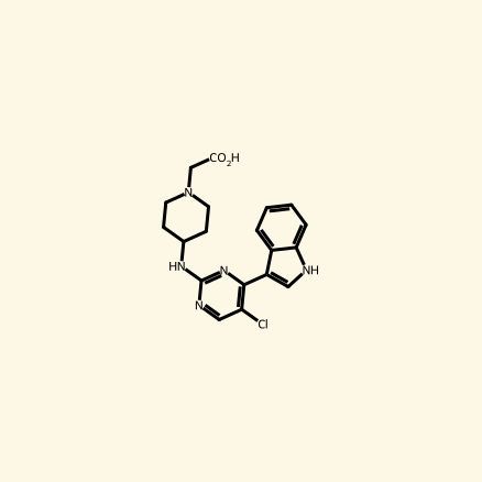 O=C(O)CN1CCC(Nc2ncc(Cl)c(-c3c[nH]c4ccccc34)n2)CC1